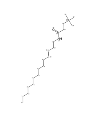 CCCCCCCCCCSSCCNC(=O)CCC(C)(C)C